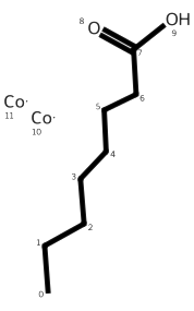 CCCCCCCC(=O)O.[Co].[Co]